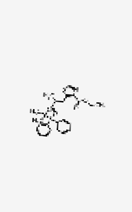 CCOC(=O)c1ncsc1C[C@H](C)CO[Si](c1ccccc1)(c1ccccc1)C(C)(C)C